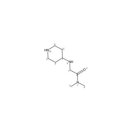 CN(C)C(=O)CNC1CCNCC1